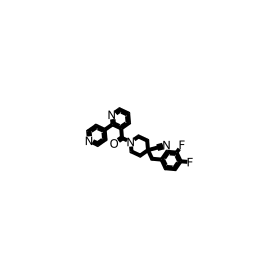 N#CC1(Cc2ccc(F)c(F)c2)CCN(C(=O)c2cccnc2-c2ccncc2)CC1